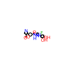 O=C1OC2(CCC(C(=O)Nc3ccn(-c4cc(O)c(O)cc4F)n3)CC2)c2cnccc21